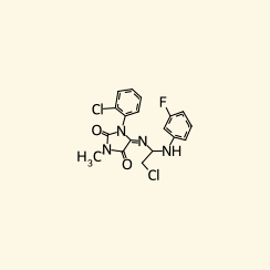 CN1C(=O)C(=NC(CCl)Nc2cccc(F)c2)N(c2ccccc2Cl)C1=O